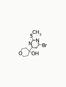 CSc1nc(Br)cc(C2(O)CCOCC2)n1